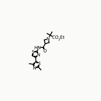 CCOC(=O)C(C)(C)N1CC(C(=O)Nc2nc(-c3sc(C)nc3C)cs2)C1